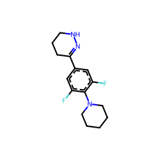 Fc1cc(C2=NNCCC2)cc(F)c1N1CCCCC1